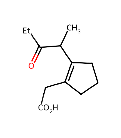 CCC(=O)C(C)C1=C(CC(=O)O)CCC1